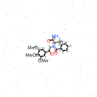 COc1cc(C(=O)CN(C(=O)c2ccccc2)C(C(N)=O)C(C)C)cc(OC)c1OC